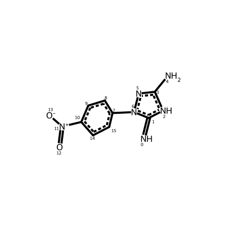 N=c1[nH]c(N)nn1-c1ccc([N+](=O)[O-])cc1